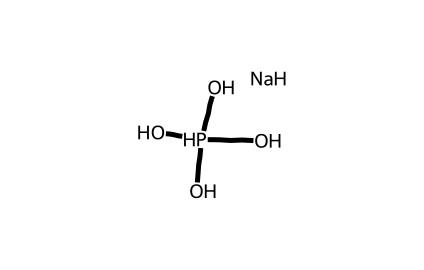 O[PH](O)(O)O.[NaH]